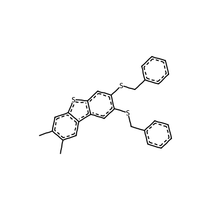 Cc1cc2sc3cc(SCc4ccccc4)c(SCc4ccccc4)cc3c2cc1C